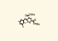 COC(=O)[C@@H]1CN(C(=O)OC(C)(C)C)CCN1Cc1ccnc(C)c1